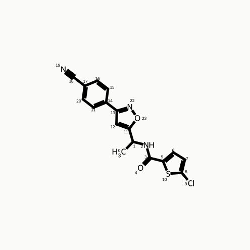 CC(NC(=O)c1ccc(Cl)s1)c1cc(-c2ccc(C#N)cc2)no1